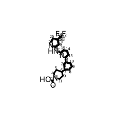 O=C(O)N1CCC(c2cccc(-c3cccc(Nc4cc(C(F)(F)F)ccn4)n3)c2)CC1